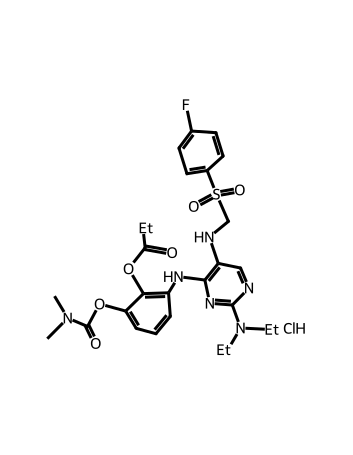 CCC(=O)Oc1c(Nc2nc(N(CC)CC)ncc2NCS(=O)(=O)c2ccc(F)cc2)cccc1OC(=O)N(C)C.Cl